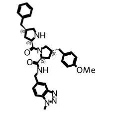 COc1ccc(C[C@@H]2C[C@@H](C(=O)NCc3ccc4c(c3)nnn4C)N(C(=O)[C@H]3C[C@@H](Cc4ccccc4)CN3)C2)cc1